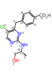 C[C@@H](CO)Nc1ncc(Cl)c(Cc2ccc(C(=O)O)cc2)n1